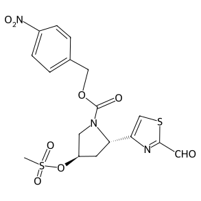 CS(=O)(=O)O[C@@H]1C[C@@H](c2csc(C=O)n2)N(C(=O)OCc2ccc([N+](=O)[O-])cc2)C1